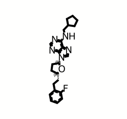 Fc1ccccc1CC[C@@H]1CC[C@H](n2cnc3c(NCC4CCCC4)ncnc32)O1